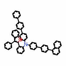 c1ccc(-c2ccc(-c3ccc(N(c4ccc(-c5ccc(-c6cccc7ccccc67)cc5)cc4)c4ccccc4-c4oc5ccccc5c4-c4ccccc4)cc3)cc2)cc1